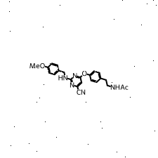 COc1ccc(CNc2nc(C#N)cc(Oc3ccc(CCNC(C)=O)cc3)n2)cc1